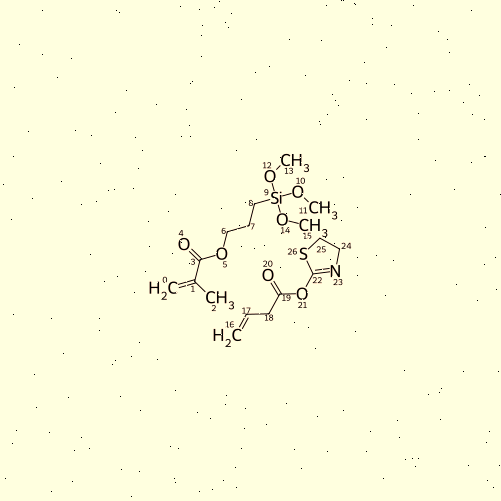 C=C(C)C(=O)OCCC[Si](OC)(OC)OC.C=CCC(=O)OC1=NCCS1